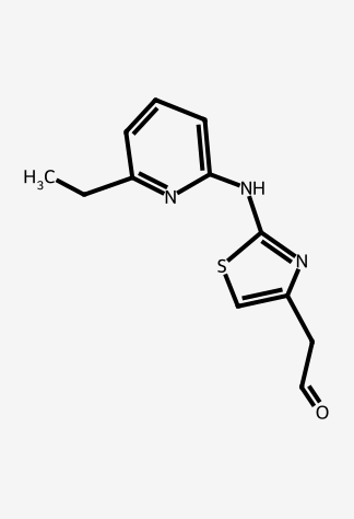 CCc1cccc(Nc2nc(CC=O)cs2)n1